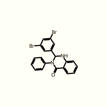 O=C1c2ccccc2NC(c2cc(Br)cc(Br)c2)N1c1ccccc1